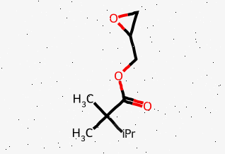 CC(C)C(C)(C)C(=O)OCC1CO1